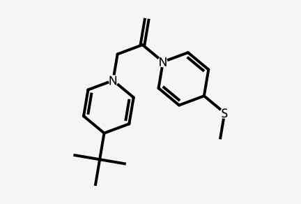 C=C(CN1C=CC(C(C)(C)C)C=C1)N1C=CC(SC)C=C1